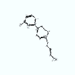 OCCCCN1CCN(c2nccc(Cl)n2)CC1